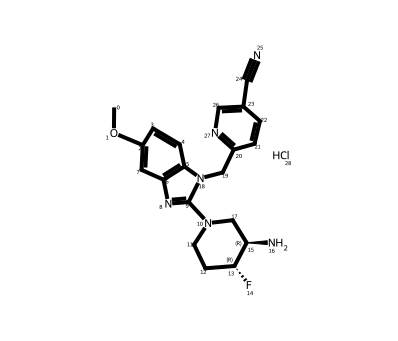 COc1ccc2c(c1)nc(N1CC[C@@H](F)[C@H](N)C1)n2Cc1ccc(C#N)cn1.Cl